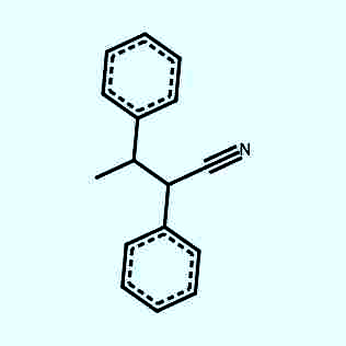 CC(c1ccccc1)C(C#N)c1ccccc1